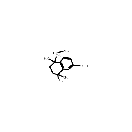 CC1(C)CCC(C)(C)c2cc(C(=O)O)ccc21.NN